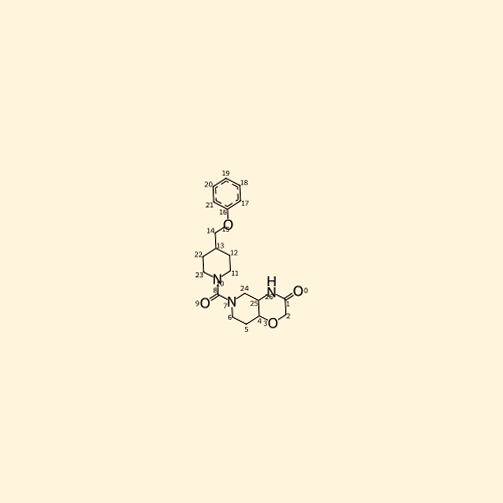 O=C1COC2CCN(C(=O)N3CCC(COc4ccccc4)CC3)CC2N1